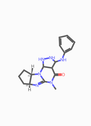 CN1C(=O)C2C(Nc3ccccc3)NNC2N2C1=N[C@@H]1CCC[C@@H]12